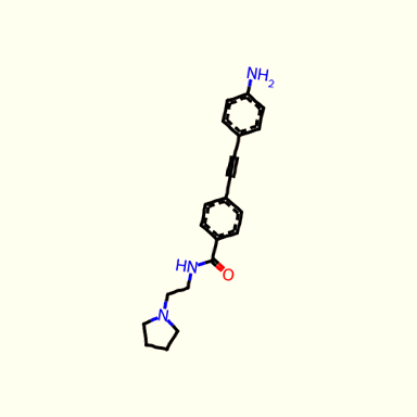 Nc1ccc(C#Cc2ccc(C(=O)NCCN3CCCC3)cc2)cc1